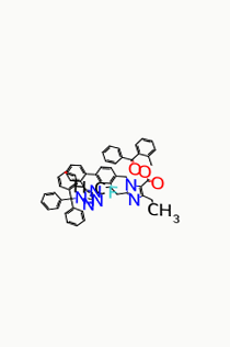 CCCc1nc(CC)c(C(=O)OCc2ccccc2C(=O)c2ccccc2)n1Cc1ccc(-c2ccccc2-c2nnnn2C(c2ccccc2)(c2ccccc2)c2ccccc2)cc1F